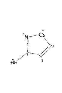 [NH]c1ccon1